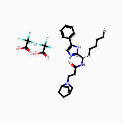 CC(=O)CCCCC[C@H](NC(=O)CCN1CC2CCC1C2)c1ncc(-c2ccccc2)[nH]1.O=C(O)C(F)(F)F.O=C(O)C(F)(F)F